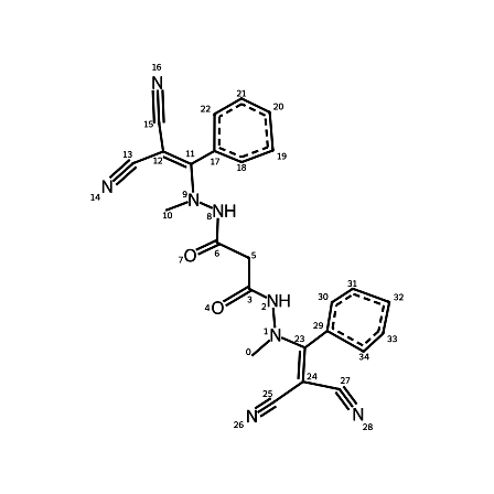 CN(NC(=O)CC(=O)NN(C)C(=C(C#N)C#N)c1ccccc1)C(=C(C#N)C#N)c1ccccc1